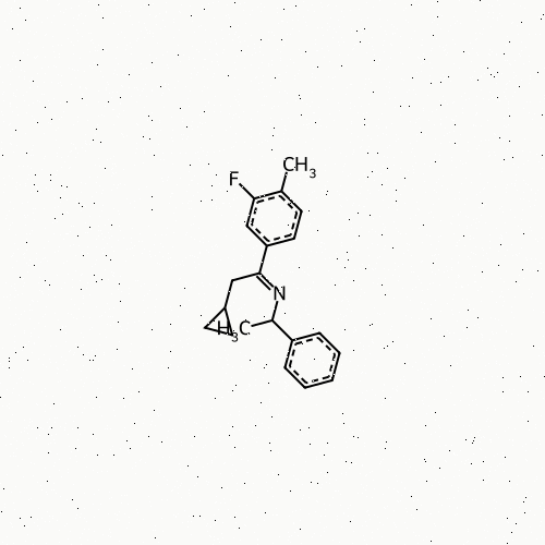 Cc1ccc(C(CC2CC2)=NC(C)c2ccccc2)cc1F